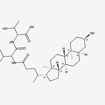 CC(C)C(NC(=O)CCC(C)[C@H]1CC[C@H]2[C@@H]3CC[C@@H]4C[C@H](O)CC[C@]4(C)[C@H]3CC[C@]12C)C(=O)NC(C(=O)O)C(C)O